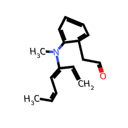 C=C/C(=C\C=C/C)N(C)c1ccccc1CC=O